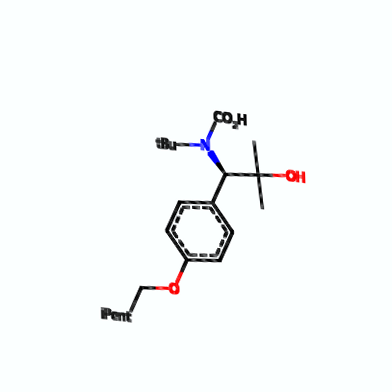 CCCC(C)COc1ccc([C@@H](N(C(=O)O)C(C)(C)C)C(C)(C)O)cc1